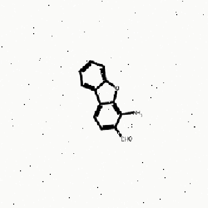 Nc1c(C=O)ccc2c1oc1ccccc12